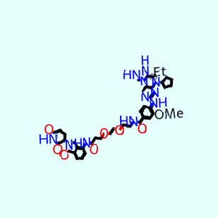 CC[C@@H]1C(=N)N(C=N)c2cnc(Nc3ccc(C(=O)NCCOCCOCCC(=O)Nc4cccc5c4CN(C4CCC(=O)NC4=O)C5=O)cc3OC)nc2N1C1CCCC1